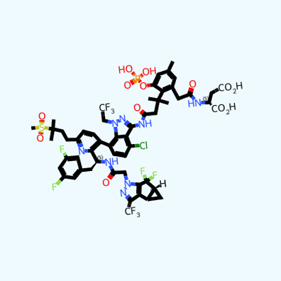 Cc1cc(CC(=O)N[C@@H](CC(=O)O)C(=O)O)c(C(C)(C)CC(=O)Nc2nn(CC(F)(F)F)c3c(-c4ccc(CCC(C)(C)S(C)(=O)=O)nc4[C@H](Cc4cc(F)cc(F)c4)NC(=O)Cn4nc(C(F)(F)F)c5c4C(F)(F)[C@@H]4CC54)ccc(Cl)c23)c(OP(=O)(O)O)c1